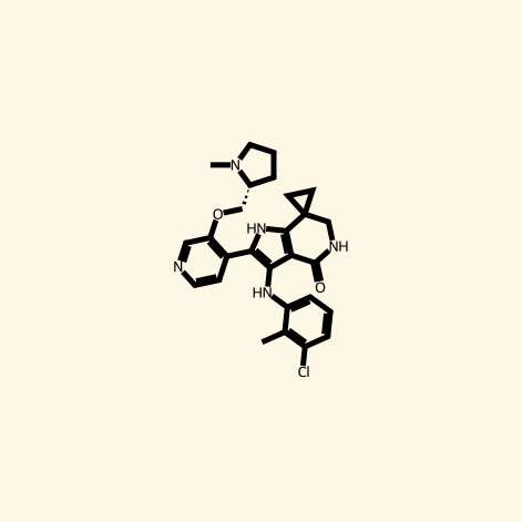 Cc1c(Cl)cccc1Nc1c(-c2ccncc2OC[C@H]2CCCN2C)[nH]c2c1C(=O)NCC21CC1